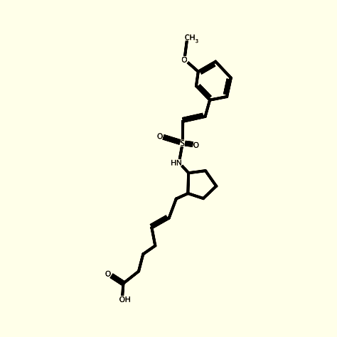 COc1cccc(/C=C/S(=O)(=O)NC2CCCC2C/C=C/CCCC(=O)O)c1